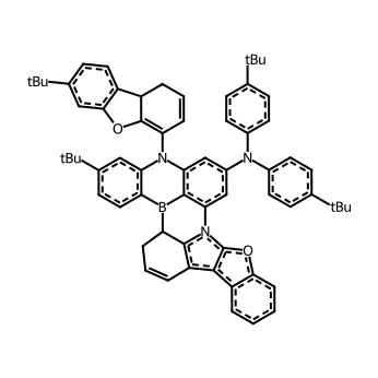 CC(C)(C)c1ccc(N(c2ccc(C(C)(C)C)cc2)c2cc3c4c(c2)-n2c5c(c6c7ccccc7oc62)C=CCC5B4c2ccc(C(C)(C)C)cc2N3C2=C3Oc4cc(C(C)(C)C)ccc4C3CC=C2)cc1